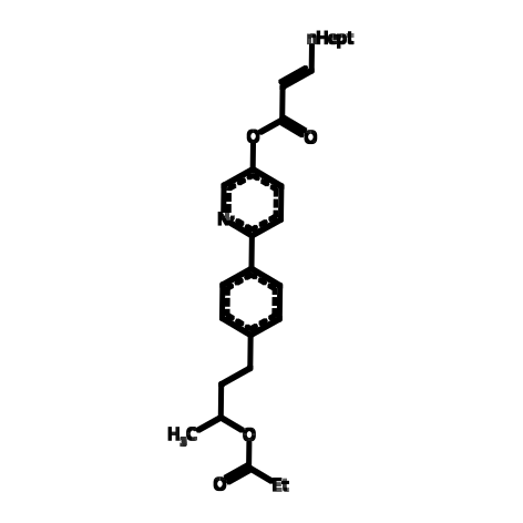 CCCCCCCC=CC(=O)Oc1ccc(-c2ccc(CCC(C)OC(=O)CC)cc2)nc1